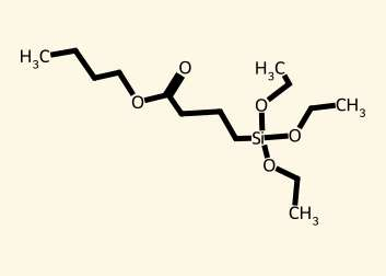 CCCCOC(=O)CCC[Si](OCC)(OCC)OCC